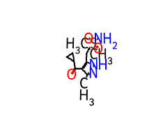 Cc1n[nH]c(CC(C)(C)S(N)(=O)=O)c1C(=O)C1CC1